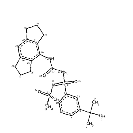 CC(C)(O)c1cccc(S(=O)(=NS(C)(=O)=O)NC(=O)Nc2c3c(cc4c2CCC4)CCC3)c1